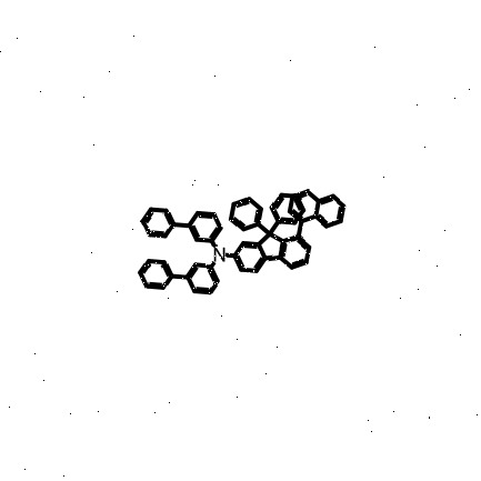 c1ccc(-c2cccc(N(c3cccc(-c4ccccc4)c3)c3ccc4c(c3)C(c3ccccc3)(c3ccccc3)c3c-4cccc3-c3cccc4ccccc34)c2)cc1